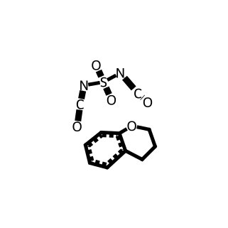 O=C=NS(=O)(=O)N=C=O.c1ccc2c(c1)CCCO2